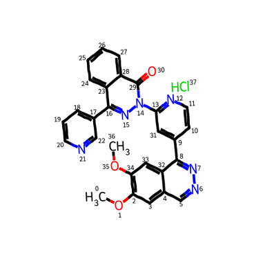 COc1cc2cnnc(-c3ccnc(-n4nc(-c5cccnc5)c5ccccc5c4=O)c3)c2cc1OC.Cl